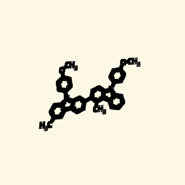 COc1ccc(-n2c3ccc(C)cc3c3ccc(-c4ccc5c(c4C)c4ccccc4n5-c4ccc(OC)cc4)cc32)cc1